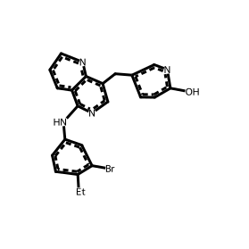 CCc1ccc(Nc2ncc(Cc3ccc(O)nc3)c3ncccc23)cc1Br